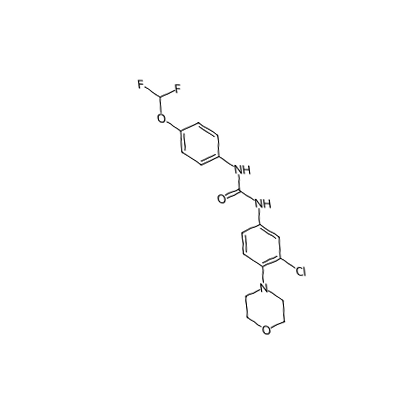 O=C(Nc1ccc(OC(F)F)cc1)Nc1ccc(N2CCOCC2)c(Cl)c1